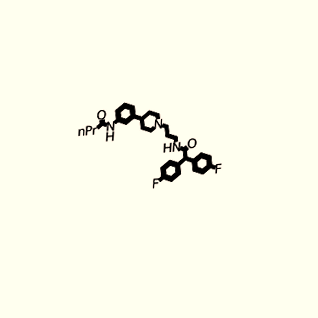 CCCC(=O)Nc1cccc(C2CCN(CCCNC(=O)C(c3ccc(F)cc3)c3ccc(F)cc3)CC2)c1